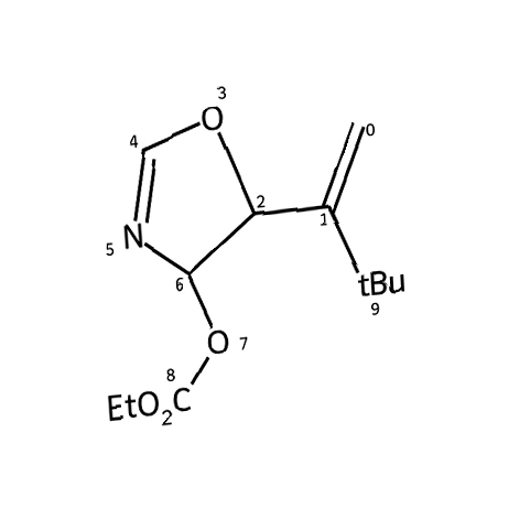 C=C(C1OC=NC1OC(=O)OCC)C(C)(C)C